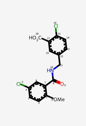 COc1ccc(Cl)cc1C(=O)NCc1ccc(Cl)c(C(=O)O)c1